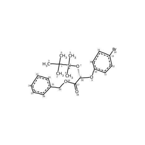 CC(C)(C)[Si](C)(C)O[C@H](Oc1ccc(Br)cc1)C(=O)OCc1ccccc1